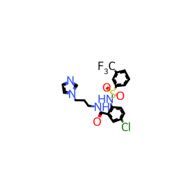 O=C(NCCCn1ccnc1)c1cc(Cl)ccc1NS(=O)(=O)c1cccc(C(F)(F)F)c1